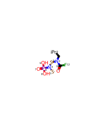 CC(C)CN(SN([S])P(=O)(O)O)C(=O)F